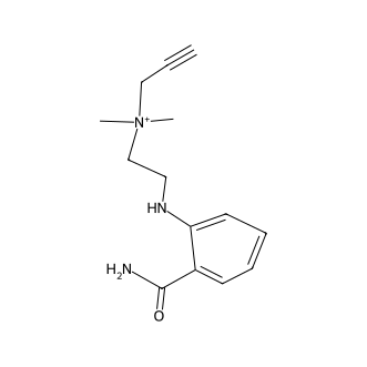 C#CC[N+](C)(C)CCNc1ccccc1C(N)=O